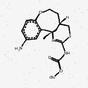 CC(C)(C)OC(=O)NC1=N[C@]2(C)c3cc(N)ccc3OCC[C@@H]2CS1